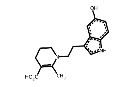 CC1=C(C(=O)O)CCCN1CCc1c[nH]c2ccc(O)cc12